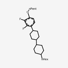 CCCCCCC1CCC(C2CCC(c3ccc(OCCCCC)c(F)c3F)CC2)CC1